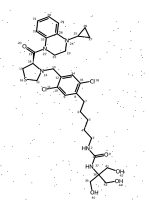 O=C(NCCCCCc1cc(Cl)c(CN2CSC[C@H]2C(=O)N2CCN(C3CC3)c3ccccc32)cc1Cl)NC(CO)(CO)CO